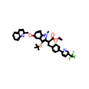 CCOC(=O)C(Cc1ccc(-c2ccc(C(F)(F)F)cn2)cc1)c1c(SC(C)(C)C)c2cc(OCc3ccc4ccccc4n3)ccc2n1C